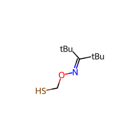 CC(C)(C)C(=NOCS)C(C)(C)C